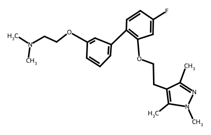 Cc1nn(C)c(C)c1CCOc1cc(F)ccc1-c1cccc(OCCN(C)C)c1